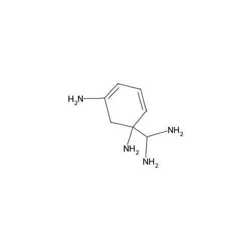 NC1=CC=CC(N)(C(N)N)C1